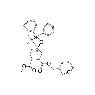 COC(=O)C1CC[C@@H](O[Si](c2ccccc2)(c2ccccc2)C(C)(C)C)CC1C(=O)OCc1ccccc1